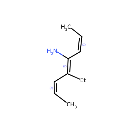 C\C=C/C(N)=C(/C=C\C)CC